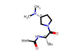 CNC(=O)N[C@H](C(=O)N1CC[C@@H](N(C)C)C1)C(C)(C)C